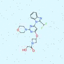 O=C(CO)N1CC(Oc2cc(-n3c(C(F)F)nc4ccccc43)nc(N3CCOCC3)n2)C1